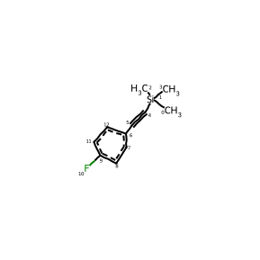 C[Si](C)(C)C#Cc1ccc(F)cc1